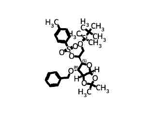 Cc1ccc(S(=O)(=O)OC(CO[Si](C)(C)C(C)(C)C)[C@H]2O[C@@H]3OC(C)(C)O[C@@H]3[C@@H]2OCc2ccccc2)cc1